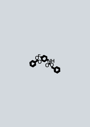 O=C(NC1CC=C(F)C(OC(=O)c2ccccc2)C1)OCc1ccccc1